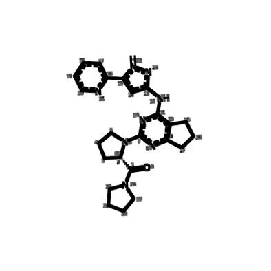 O=C([C@@H]1CCCN1c1nc2c(c(Nc3cc(-c4ccccn4)[nH]n3)n1)CCC2)N1CCCC1